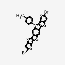 Cc1ccc(-n2c3cc4c(cc3c3sc5cc(Br)sc5c32)sc2c3sc(Br)cc3sc42)cc1